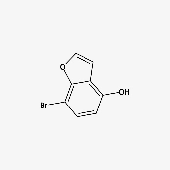 Oc1ccc(Br)c2occc12